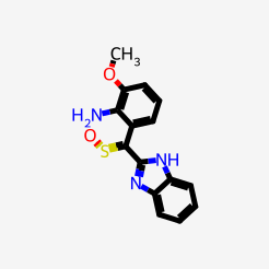 COc1cccc(C(=S=O)c2nc3ccccc3[nH]2)c1N